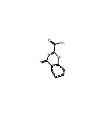 NC(=O)C1=[N+]C(=O)c2ccccc2N1